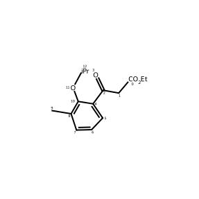 CCOC(=O)CC(=O)c1cccc(C)c1OC(C)C